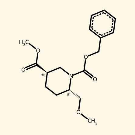 COC[C@@H]1CC[C@@H](C(=O)OC)CN1C(=O)OCc1ccccc1